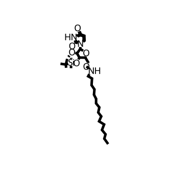 CCCCCCCCCCCCCCCCNOCC1OC(n2ccc(=O)[nH]c2=O)C(OC)C1O[Si](C)(C)C(C)(C)C